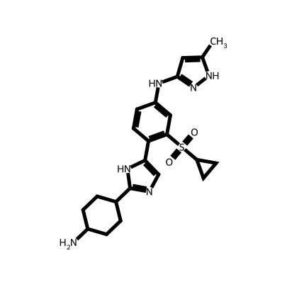 Cc1cc(Nc2ccc(-c3cnc(C4CCC(N)CC4)[nH]3)c(S(=O)(=O)C3CC3)c2)n[nH]1